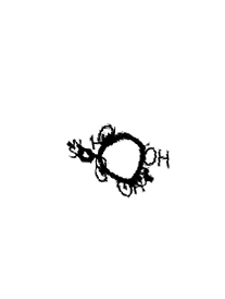 C=CC[C@H]1C(=O)C(C)(C)[C@@H](O)CC(=O)OC(c2ccc3sc(C)nc3c2)C[C@H]2O[C@]2(C)CCC[C@H](C)C1O